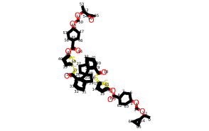 CC(OCOC1CCC(C(=O)Oc2ccc(SC(=O)c3cccc4c3C3(CC4)CCc4cccc(C(=O)Sc5ccc(OC(=O)C6CCC(OCOC(C)C7CO7)CC6)s5)c43)s2)CC1)C1CC1